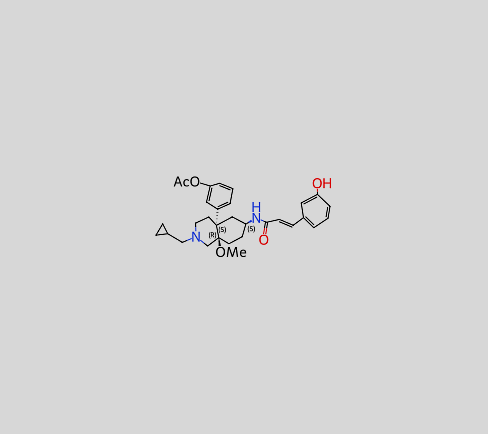 CO[C@]12CC[C@H](NC(=O)C=Cc3cccc(O)c3)C[C@]1(c1cccc(OC(C)=O)c1)CCN(CC1CC1)C2